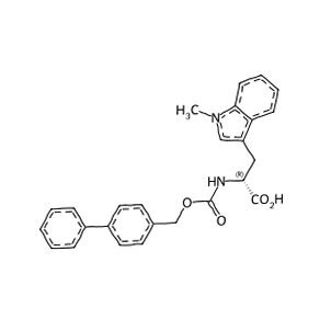 Cn1cc(C[C@@H](NC(=O)OCc2ccc(-c3ccccc3)cc2)C(=O)O)c2ccccc21